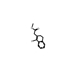 COC(=O)CC1=C(F)c2ccccc2CC1